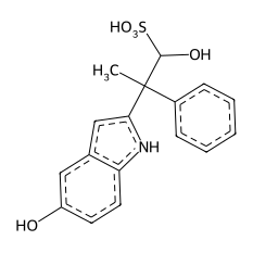 CC(c1ccccc1)(c1cc2cc(O)ccc2[nH]1)C(O)S(=O)(=O)O